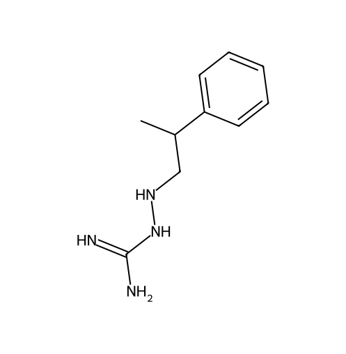 CC(CNNC(=N)N)c1ccccc1